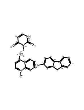 O=[N+]([O-])c1cc[n+]([O-])c2ccccc12.O=[N+]([O-])c1ccc2c(c1)Cc1ccccc1-2.O=c1cc[nH]c(=O)n1F